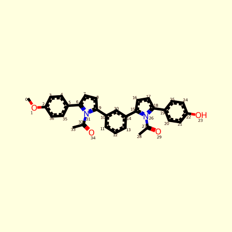 COc1ccc(-c2ccc(-c3cccc(-c4ccc(-c5ccc(O)cc5)n4C(C)=O)c3)n2C(C)=O)cc1